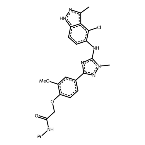 COc1cc(-c2nc(Nc3ccc4[nH]nc(C)c4c3Cl)n(C)n2)ccc1OCC(=O)NC(C)C